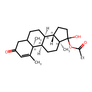 CCC(=O)OC1(O)CC[C@H]2[C@@H]3CCC4CC(=O)C=C(C)[C@]4(C)[C@@H]3CC[C@@]21C